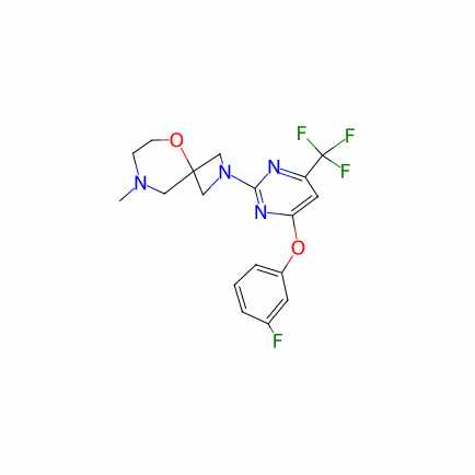 CN1CCOC2(C1)CN(c1nc(Oc3cccc(F)c3)cc(C(F)(F)F)n1)C2